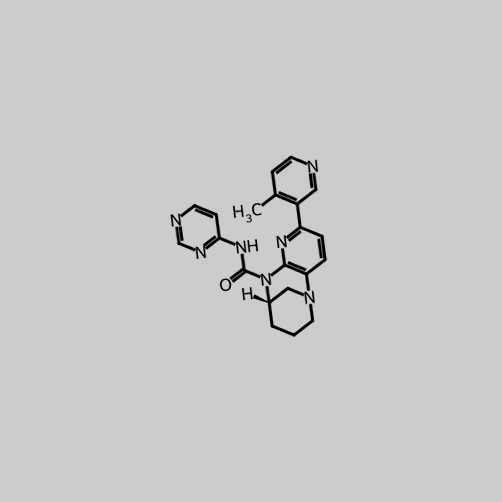 Cc1ccncc1-c1ccc2c(n1)N(C(=O)Nc1ccncn1)[C@H]1CCCN2C1